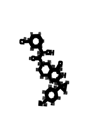 O=C([C@H](O)c1cccc(Cl)c1)N1CCc2nc(C3(c4ccc(Br)cc4)CC3)[nH]c(=O)c2C1